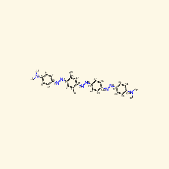 Cc1cc(/N=N/c2ccc(N(C)C)cc2)c(C)cc1/N=N/c1ccc(/N=N/c2ccc(N(C)C)cc2)cc1